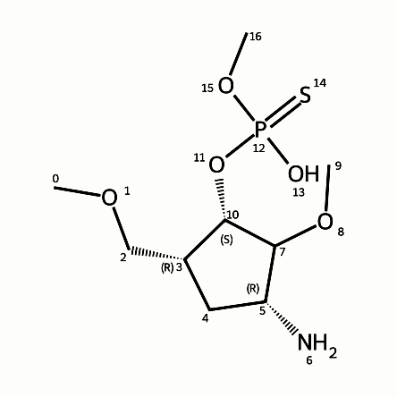 COC[C@H]1C[C@@H](N)C(OC)[C@H]1OP(O)(=S)OC